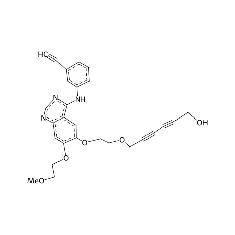 C#Cc1cccc(Nc2ncnc3cc(OCCOC)c(OCCOCC#CC#CCO)cc23)c1